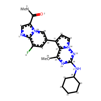 CNC(=O)c1cnc2c(F)cc(-c3ccn4nc(NC5CCCCC5)nc(OC)c34)cn12